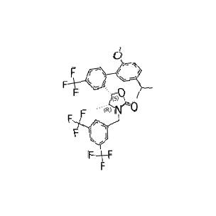 COc1ccc(C(C)C)cc1-c1ccc(C(F)(F)F)cc1[C@@H]1OC(=O)N(Cc2cc(C(F)(F)F)cc(C(F)(F)F)c2)[C@@H]1C